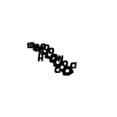 COC(=O)/C(=C\c1ccc2nc(Oc3c(Cl)cccc3Cl)ccc2c1)NC(=O)OC(C)(C)C